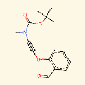 CN(C#COc1ccccc1C=O)C(=O)OC(C)(C)C